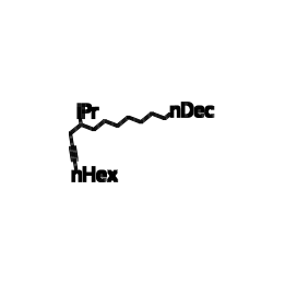 [CH2]CCCCCC#CCC(CCCCCCCCCCCCCCCC[CH2])C(C)C